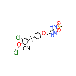 Cn1nc(NS(C)(=O)=O)cc1COc1ccc(C(C)(C)c2cc(Cl)c(OCCCl)c(C#N)c2)cc1